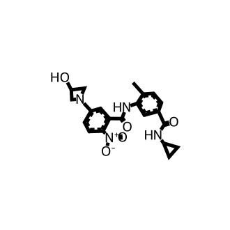 Cc1ccc(C(=O)NC2CC2)cc1NC(=O)c1cc(N2CC(O)C2)ccc1[N+](=O)[O-]